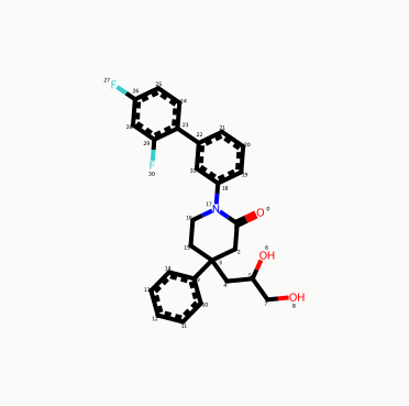 O=C1CC(CC(O)CO)(c2ccccc2)CCN1c1cccc(-c2ccc(F)cc2F)c1